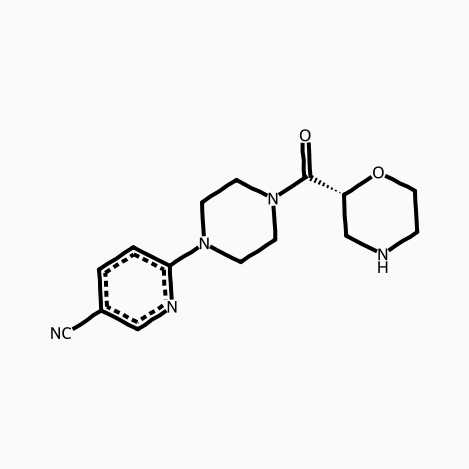 N#Cc1ccc(N2CCN(C(=O)[C@H]3CNCCO3)CC2)nc1